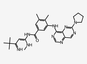 CN/C(=C\C(=N)C(C)(C)C)NC(=O)c1cc(C)c(C)c(Nc2ncnc3cnc(N4CCCC4)nc23)c1